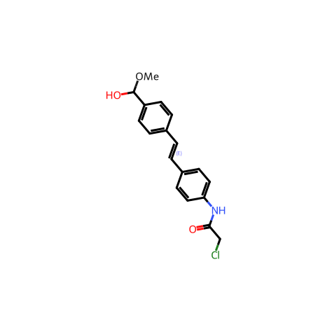 COC(O)c1ccc(/C=C/c2ccc(NC(=O)CCl)cc2)cc1